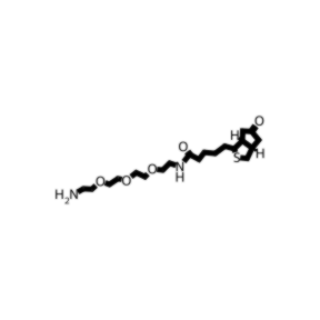 NCCOCCOCCOCCNC(=O)CCCCC1SC[C@H]2CC(=O)C[C@@H]12